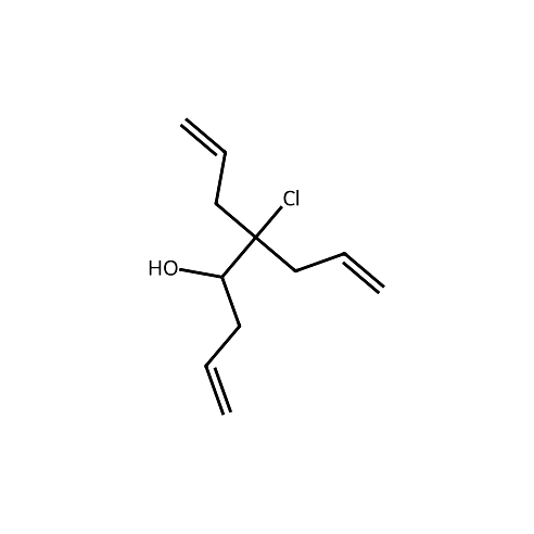 C=CCC(O)C(Cl)(CC=C)CC=C